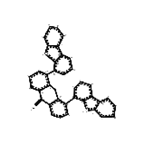 O=C1c2cccc(-c3cccc4c3sc3ccccc34)c2Cc2c1cccc2-c1cccc2c1sc1ccccc12